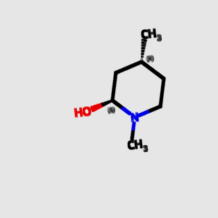 C[C@@H]1CCN(C)[C@@H](O)C1